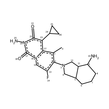 Cc1c(N2CC3CCCC(N)C3C2)c(F)cn2c(=O)n(N)c(=O)c(C3CC3)c12